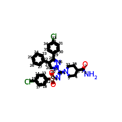 NC(=O)C1CCN(C(=NS(=O)(=O)c2ccc(Cl)cc2)N2CC(c3ccccc3)C(c3ccc(Cl)cc3)=N2)CC1